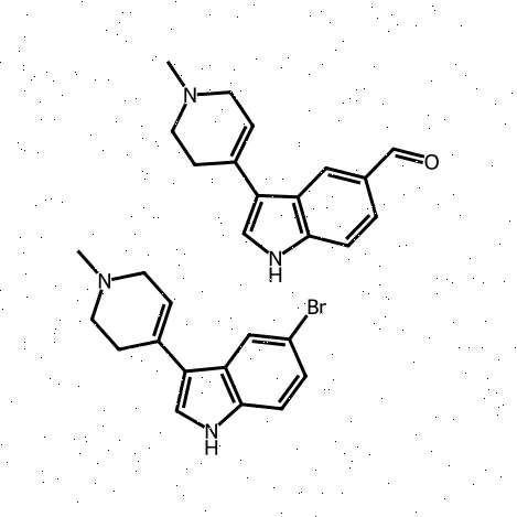 CN1CC=C(c2c[nH]c3ccc(Br)cc23)CC1.CN1CC=C(c2c[nH]c3ccc(C=O)cc23)CC1